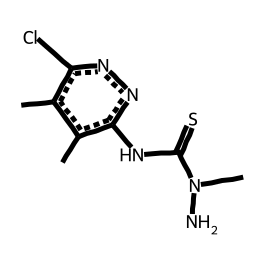 Cc1c(Cl)nnc(NC(=S)N(C)N)c1C